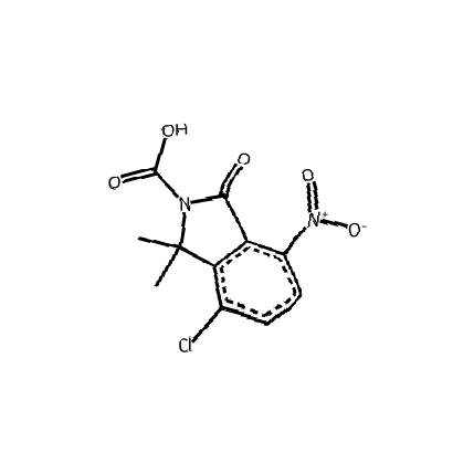 CC1(C)c2c(Cl)ccc([N+](=O)[O-])c2C(=O)N1C(=O)O